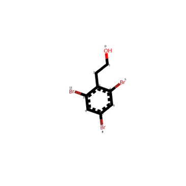 OCCc1c(Br)cc(Br)cc1Br